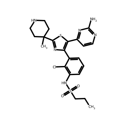 CCCS(=O)(=O)Nc1cccc(-c2nc(C3(C)CCNCC3)sc2-c2ccnc(N)n2)c1Cl